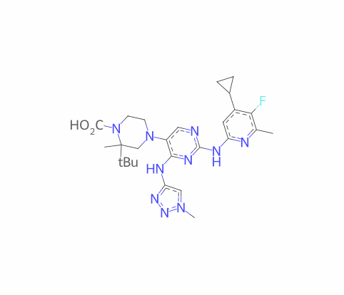 Cc1nc(Nc2ncc(N3CCN(C(=O)O)C(C)(C(C)(C)C)C3)c(Nc3cn(C)nn3)n2)cc(C2CC2)c1F